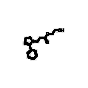 O=C(CCN1CCN=C1c1ccccc1)OCCO